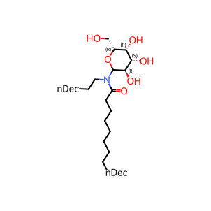 CCCCCCCCCCCCCCCCCC(=O)N(CCCCCCCCCCCC)C1O[C@H](CO)[C@H](O)[C@H](O)[C@H]1O